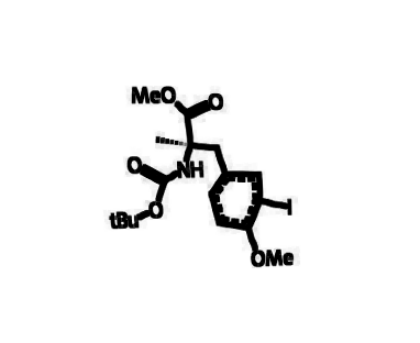 COC(=O)[C@@](C)(Cc1ccc(OC)c(I)c1)NC(=O)OC(C)(C)C